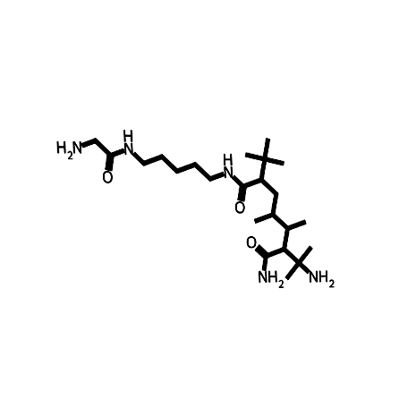 CC(CC(C(=O)NCCCCCNC(=O)CN)C(C)(C)C)C(C)C(C(N)=O)C(C)(C)N